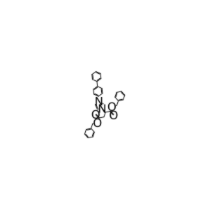 O=C(CC(C(=O)OCc1ccccc1)N1C=CN(c2ccc(-c3ccccc3)cc2)C1)OCc1ccccc1